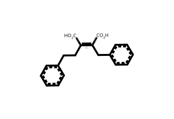 O=C(O)/C(CCc1ccccc1)=C(/Cc1ccccc1)C(=O)O